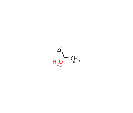 C[CH2][Zr].O